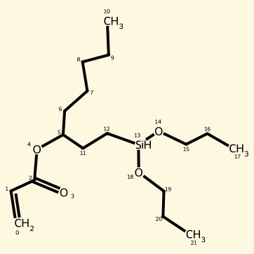 C=CC(=O)OC(CCCCC)CC[SiH](OCCC)OCCC